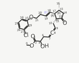 COC(=O)C(O)CC=C=CC[C@H]1C(=O)C[C@@H](C)[C@@H]1/C=C/CCOc1cccc(Cl)c1